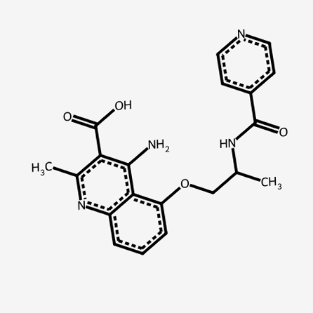 Cc1nc2cccc(OCC(C)NC(=O)c3ccncc3)c2c(N)c1C(=O)O